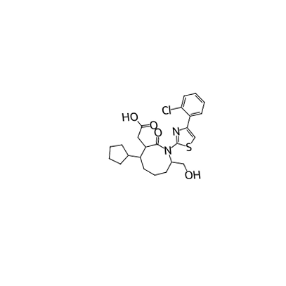 O=C(O)CC1C(=O)N(c2nc(-c3ccccc3Cl)cs2)C(CO)CCCC1C1CCCC1